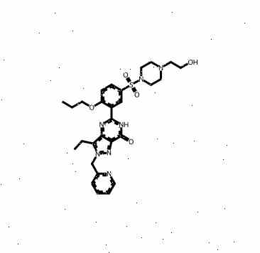 CCCOc1ccc(S(=O)(=O)N2CCN(CCO)CC2)cc1-c1nc2c(CC)n(Cc3ccccn3)nc2c(=O)[nH]1